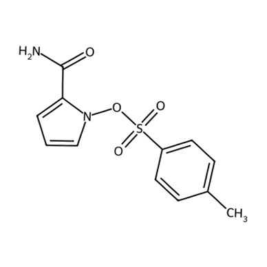 Cc1ccc(S(=O)(=O)On2cccc2C(N)=O)cc1